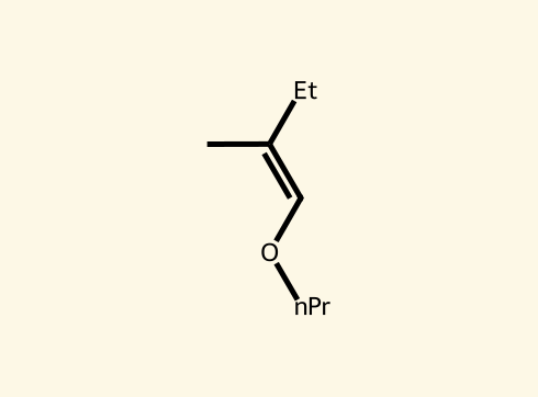 CCCOC=C(C)CC